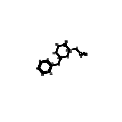 CC(=O)OC[C@@H]1CN(Cc2ccccc2)CCO1